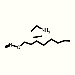 C=NOCCCCCCCC.CC.CCN